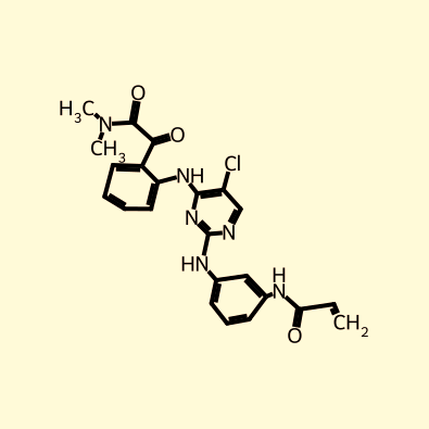 C=CC(=O)Nc1cccc(Nc2ncc(Cl)c(Nc3ccccc3C(=O)C(=O)N(C)C)n2)c1